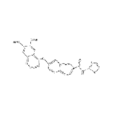 COc1cc2nccc(Oc3ccc4ccc(C(=O)Nc5nccs5)cc4c3)c2cc1OC